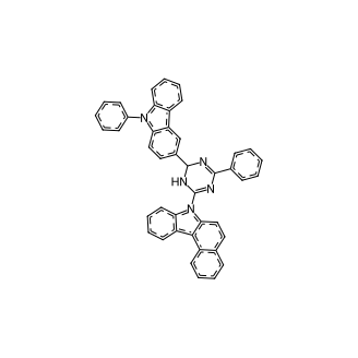 c1ccc(C2=NC(c3ccc4c(c3)c3ccccc3n4-c3ccccc3)NC(n3c4ccccc4c4c5ccccc5ccc43)=N2)cc1